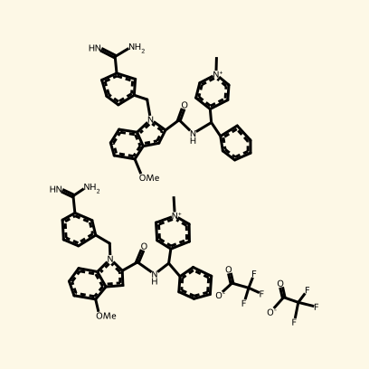 COc1cccc2c1cc(C(=O)NC(c1ccccc1)c1cc[n+](C)cc1)n2Cc1cccc(C(=N)N)c1.COc1cccc2c1cc(C(=O)NC(c1ccccc1)c1cc[n+](C)cc1)n2Cc1cccc(C(=N)N)c1.O=C([O-])C(F)(F)F.O=C([O-])C(F)(F)F